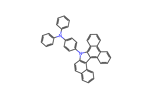 c1ccc(N(c2ccccc2)c2ccc(-n3c4ccc5ccccc5c4c4c5ccccc5c5ccccc5c43)cc2)cc1